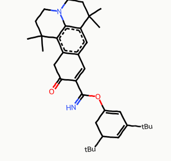 CC(C)(C)C1=CC(C(C)(C)C)CC(OC(=N)C2=Cc3cc4c5c(c3CC2=O)C(C)(C)CCN5CCC4(C)C)=C1